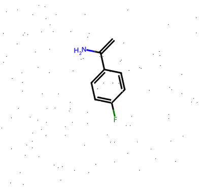 C=C(N)c1ccc(F)cc1